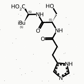 CC[C@H](C)[C@H](NC(=O)[C@H](CO)NC(=O)CCc1cnc[nH]1)C(=O)O